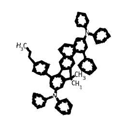 CCCc1ccc(-c2cc(N(c3ccccc3)c3ccccc3)cc3c2-c2cc4ccc5cc(N(c6ccccc6)c6ccccc6)cc(-c6ccccc6)c5c4cc2C3(C)C)cc1